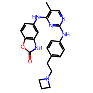 Cc1cnc(Nc2ccc(CCN3CCC3)cc2)nc1Nc1ccc2oc(=O)[nH]c2c1